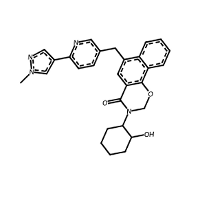 Cn1cc(-c2ccc(Cc3cc4c(c5ccccc35)OCN(C3CCCCC3O)C4=O)cn2)cn1